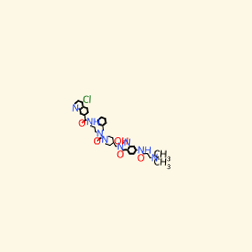 CN(C)CCC(=O)Nc1ccc2c(=O)n(CC3(O)CCN(C(=O)N(CCCNC(=O)c4ccc5c(Cl)ccnc5c4)Cc4ccccc4)CC3)cnc2c1